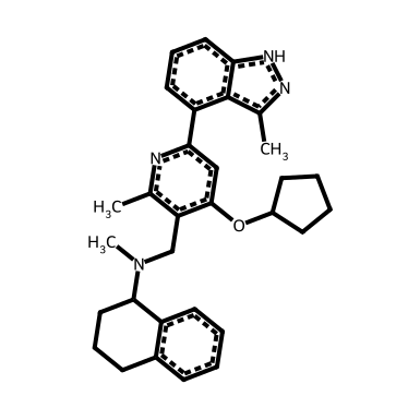 Cc1nc(-c2cccc3[nH]nc(C)c23)cc(OC2CCCC2)c1CN(C)C1CCCc2ccccc21